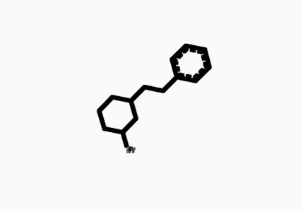 CC(C)C1CCCC(CCc2ccccc2)C1